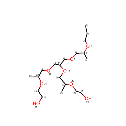 CCCOC(C)COCC(COCC(C)OCCO)OCC(C)OCCO